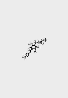 COC(=O)c1ccc(CC2OCc3c2[nH]c(=O)c(C(=O)NCC(=O)OC(C)(C)C)c3O)cc1